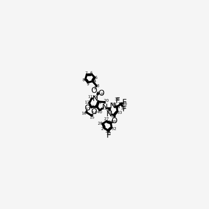 O=C(OCc1ccccc1)N1CCC2(OCCO2)C2=C1CN(c1nc(Oc3cccc(F)c3)cc(C(F)(F)F)n1)C2